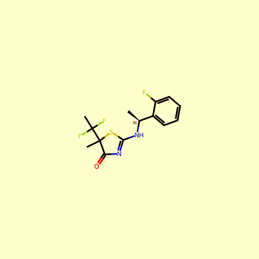 C[C@H](NC1=NC(=O)C(C)(C(C)(F)F)S1)c1ccccc1F